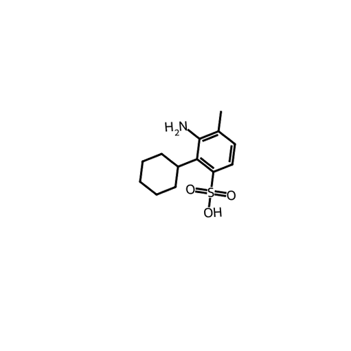 Cc1ccc(S(=O)(=O)O)c(C2CCCCC2)c1N